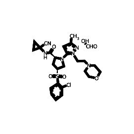 Cc1cc(N2C[C@H](S(=O)(=O)c3ccccc3Cl)C[C@H]2C(=O)NC2(C#N)CC2)n(CCN2CCOCC2)n1.O=CO